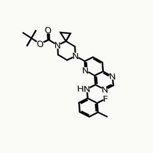 Cc1cccc(Nc2ncnc3ccc(N4CCN(C(=O)OC(C)(C)C)C5(CC5)C4)nc23)c1F